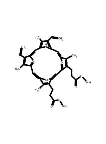 C=CC1=C(C)c2cc3[nH]c(cc4nc(cc5[nH]c(cc1n2)c(C)c5C=C)C(C)=C4CCC(=O)OCCCC)c(CCC(=O)OCCCC)c3C